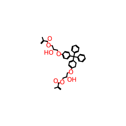 C=C(C)C(=O)OCC(O)COC1=CC=C(C(c2ccccc2)(c2ccccc2)c2ccc(OCC(O)COC(=O)C(=C)C)cc2)CC1